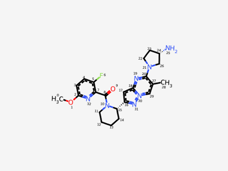 COc1ccc(F)c(C(=O)N2CCCC[C@H]2c2cc3nc(N4CC[C@H](N)C4)c(C)cn3n2)n1